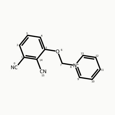 N#Cc1cccc(OC[n+]2ccccc2)c1C#N